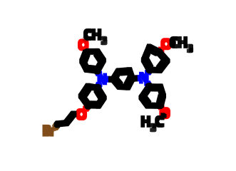 COc1ccc(N(c2ccc(OC)cc2)c2ccc(N(c3ccc(OC)cc3)c3ccc(OCCCBr)cc3)cc2)cc1